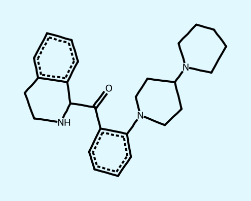 O=C(c1ccccc1N1CCC(N2CCCCC2)CC1)C1NCCc2ccccc21